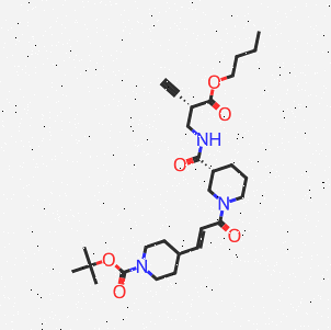 C#C[C@@H](CNC(=O)[C@@H]1CCCN(C(=O)/C=C/C2CCN(C(=O)OC(C)(C)C)CC2)C1)C(=O)OCCCC